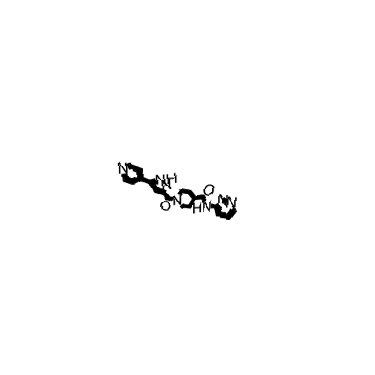 O=C(Nc1cccnn1)C1CCN(C(=O)c2cc(-c3ccncc3)[nH]n2)CC1